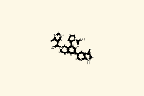 Cc1ncncc1C(=O)N1CCc2cc(-c3cnc4[nH]cc(C)c4c3)cc(C3CCCN3C(=O)O)c2C1